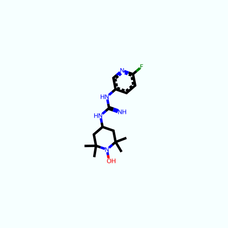 CC1(C)CC(NC(=N)Nc2ccc(F)nc2)CC(C)(C)N1O